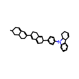 CC1CC=C2C=C(C3=CC4=CCC(c5ccc(N6c7ccccc7C7C=CCCC76)cc5)C=C4CC3)CCC2C1